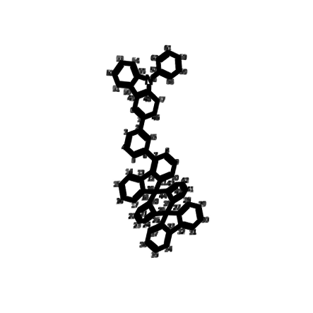 C1=C(c2cccc(-c3cccc4c3-c3ccccc3C43c4ccccc4C4(c5ccccc5-c5ccccc54)c4ccccc43)c2)CCc2c1c1ccccc1n2-c1ccccc1